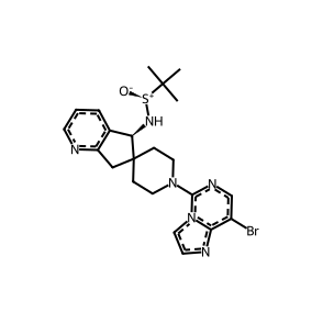 CC(C)(C)[S@+]([O-])N[C@@H]1c2cccnc2CC12CCN(c1ncc(Br)c3nccn13)CC2